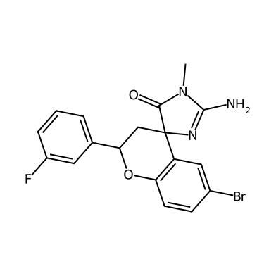 CN1C(=O)C2(CC(c3cccc(F)c3)Oc3ccc(Br)cc32)N=C1N